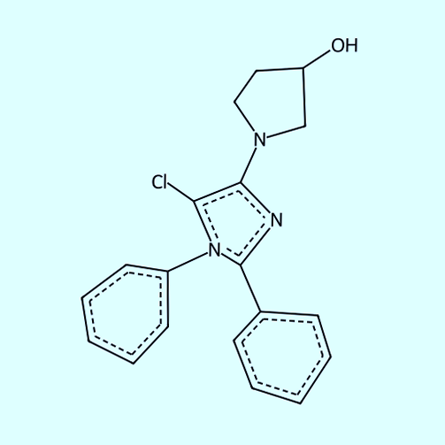 OC1CCN(c2nc(-c3ccccc3)n(-c3ccccc3)c2Cl)C1